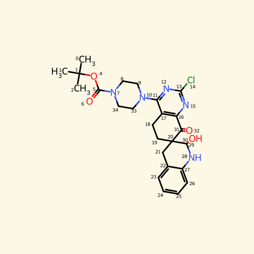 CC(C)(C)OC(=O)N1CCN(c2nc(Cl)nc3c2CCC2(Cc4ccccc4NC2O)C3=O)CC1